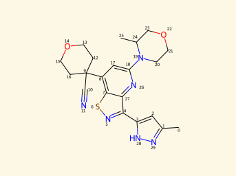 Cc1cc(-c2nsc3c(C4(C#N)CCOCC4)cc(N4CCOCC4C)nc23)[nH]n1